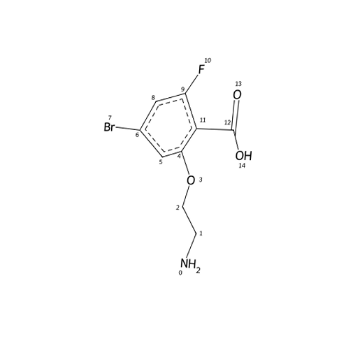 NCCOc1cc(Br)cc(F)c1C(=O)O